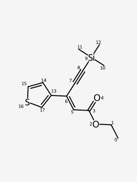 CCOC(=O)C=C(C#C[Si](C)(C)C)c1ccsc1